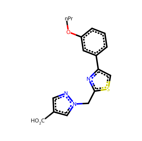 CCCOc1cccc(-c2csc(Cn3cc(C(=O)O)cn3)n2)c1